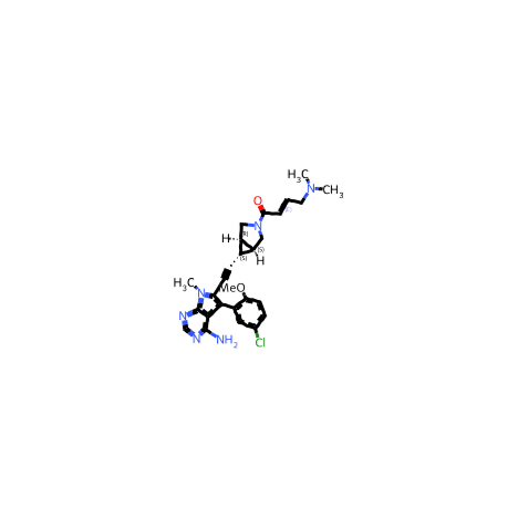 COc1ccc(Cl)cc1-c1c(C#C[C@@H]2[C@H]3CN(C(=O)/C=C/CN(C)C)C[C@@H]23)n(C)c2ncnc(N)c12